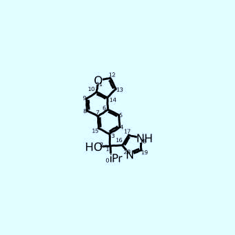 CC(C)C(O)(c1ccc2c(ccc3occc32)c1)c1c[nH]cn1